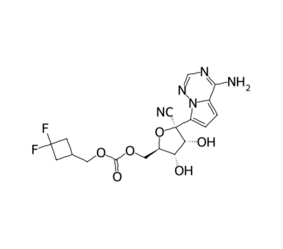 N#C[C@@]1(c2ccc3c(N)ncnn23)O[C@H](COC(=O)OCC2CC(F)(F)C2)[C@@H](O)[C@H]1O